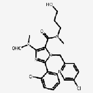 CN(CCCO)C(=O)c1c(N(C)C=O)nc(-c2ccccc2Cl)n1Cc1ccc(Cl)cn1